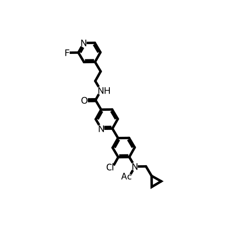 CC(=O)N(CC1CC1)c1ccc(-c2ccc(C(=O)NCCc3ccnc(F)c3)cn2)cc1Cl